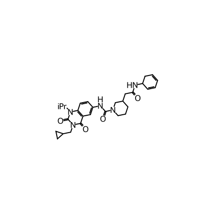 CC(C)n1c(=O)n(CC2CC2)c(=O)c2cc(NC(=O)N3CCCC(CC(=O)NC4C=CC=CC4)C3)ccc21